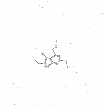 CCc1[nH]c2nc(SC)nc(COC)c2c1Br